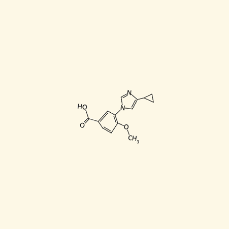 COc1ccc(C(=O)O)cc1-n1cnc(C2CC2)c1